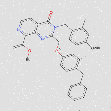 C=C(OCC)c1nccc2c(=O)n(Cc3ccc(OC)cc3C)c(COc3ccc(Cc4ccccc4)cc3)nc12